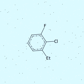 CCc1c[c]cc(F)c1Cl